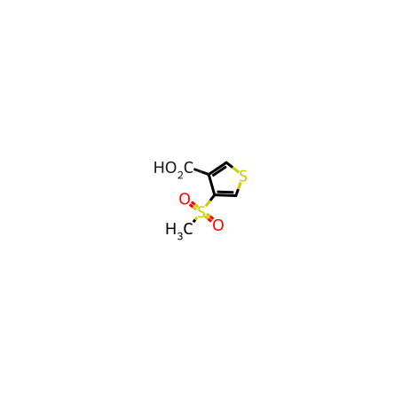 CS(=O)(=O)c1cscc1C(=O)O